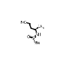 CC(C)(C)[S@@+]([O-])N[C@@H](CCC#N)C(F)(F)F